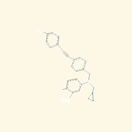 CCCCc1ccc(C#Cc2ccc(CN(CC3CC3)c3ccc(F)c(C(=O)O)c3)cc2)cc1